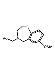 COc1ccc2c(c1)CN(CC(C)=O)CCS2